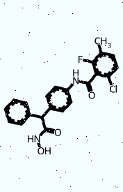 Cc1ccc(Cl)c(C(=O)Nc2ccc(C(C(=O)NO)c3ccccc3)cc2)c1F